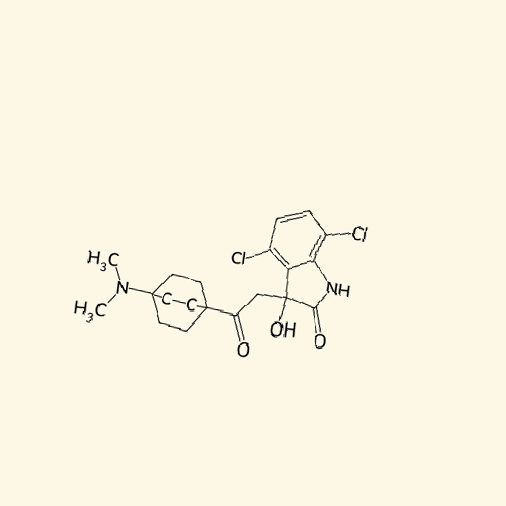 CN(C)C12CCC(C(=O)CC3(O)C(=O)Nc4c(Cl)ccc(Cl)c43)(CC1)CC2